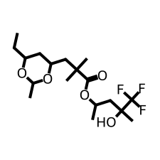 CCC1CC(CC(C)(C)C(=O)OC(C)CC(C)(O)C(F)(F)F)OC(C)O1